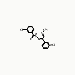 O=C(NN=C(C=NO)c1cccc(Cl)c1)c1cccc(Cl)c1